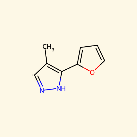 Cc1[c]n[nH]c1-c1ccco1